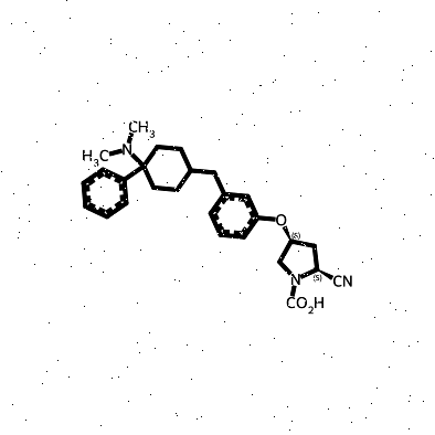 CN(C)C1(c2ccccc2)CCC(Cc2cccc(O[C@H]3C[C@@H](C#N)N(C(=O)O)C3)c2)CC1